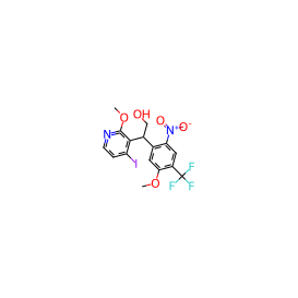 COc1cc(C(CO)c2c(I)ccnc2OC)c([N+](=O)[O-])cc1C(F)(F)F